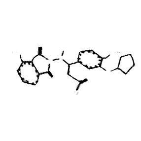 COc1ccc(C(CC(N)=O)N(C=O)N2C(=O)c3cccc(NC(C)=O)c3C2=O)cc1OC1CCCC1